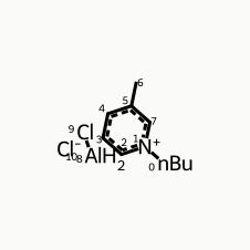 CCCC[n+]1cccc(C)c1.[AlH2][Cl].[Cl-]